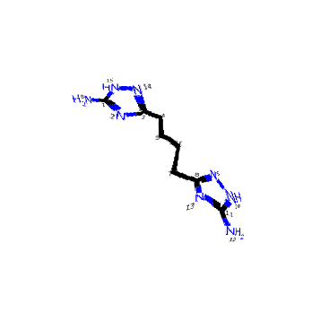 Nc1nc(CCCCc2n[nH]c(N)n2)n[nH]1